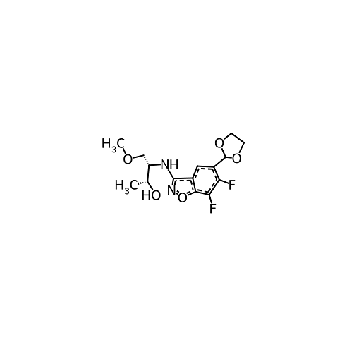 COC[C@H](Nc1noc2c(F)c(F)c(C3OCCO3)cc12)[C@@H](C)O